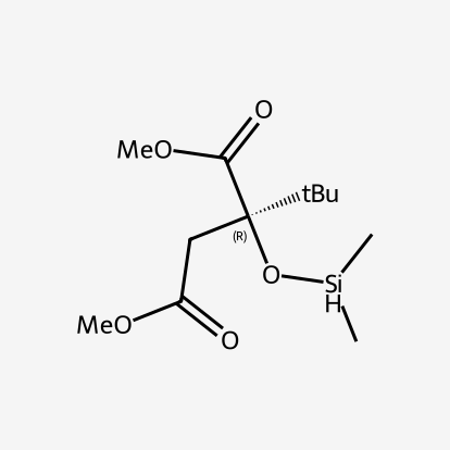 COC(=O)C[C@](O[SiH](C)C)(C(=O)OC)C(C)(C)C